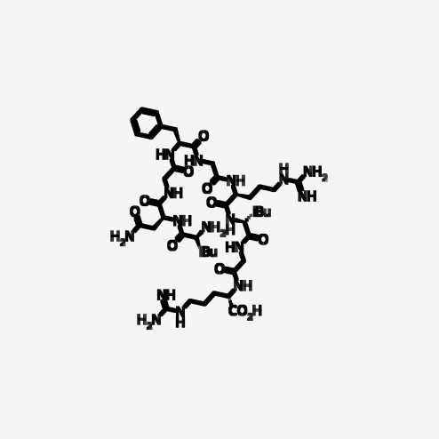 CC[C@H](C)[C@H](N)C(=O)N[C@@H](CC(N)=O)C(=O)NCC(=O)N[C@@H](Cc1ccccc1)C(=O)NCC(=O)N[C@@H](CCCNC(=N)N)C(=O)N[C@H](C(=O)NCC(=O)N[C@@H](CCCNC(=N)N)C(=O)O)[C@@H](C)CC